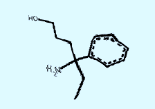 CCC(N)(CCCO)c1ccccc1